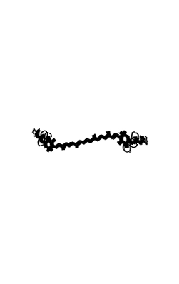 CC1=C(/C=C/C(C)=C/C=C/C(C)=C/C=C/C=C(C)/C=C/C=C(C)/C=C/C2=C(C)C(=O)C(OC(=O)CN(C)C)CC2(C)C)C(C)(C)CC(OC(=O)CN(C)C)C1=O